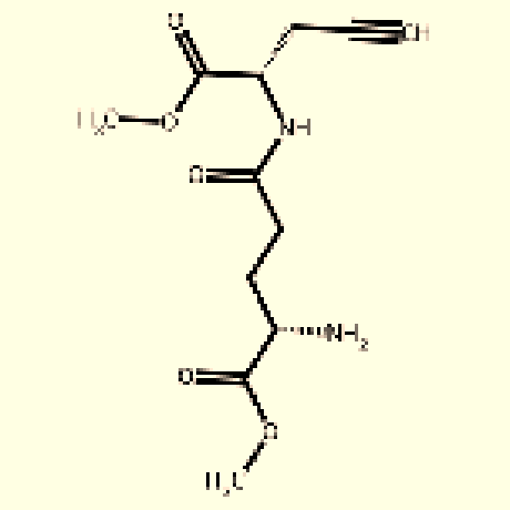 C#CC[C@H](NC(=O)CC[C@H](N)C(=O)OC)C(=O)OC